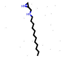 CCCCCCCCCCCCNCC1CN1